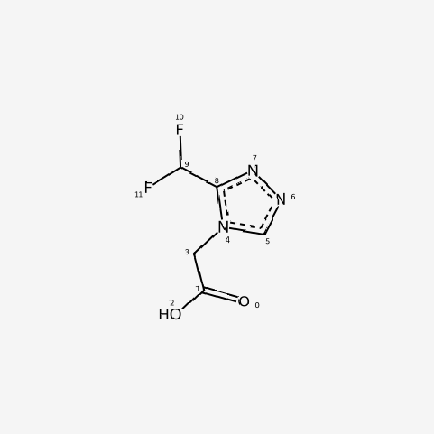 O=C(O)Cn1cnnc1C(F)F